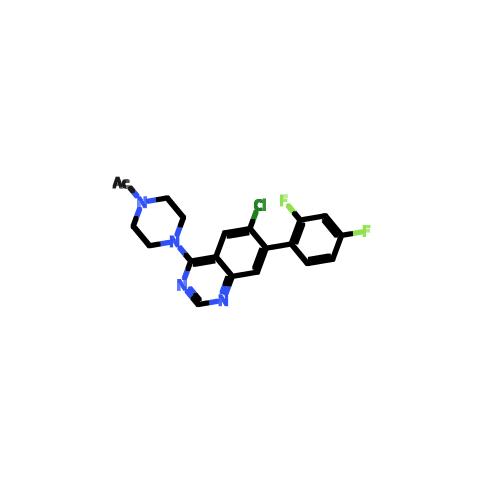 CC(=O)N1CCN(c2ncnc3cc(-c4ccc(F)cc4F)c(Cl)cc23)CC1